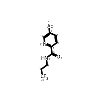 CC(=O)c1ccc(C(=O)NCCC(F)(F)F)nc1